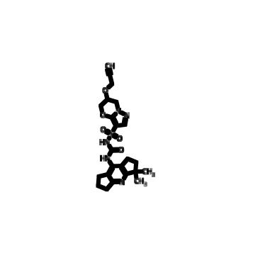 C#CCOC1COc2c(S(=O)(=O)NC(=O)Nc3c4c(nc5c3CCC5(C)C)CCC4)cnn2C1